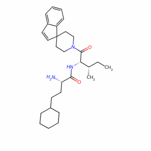 CC[C@H](C)[C@H](NC(=O)[C@@H](N)CCC1CCCCC1)C(=O)N1CCC2(C=Cc3ccccc32)CC1